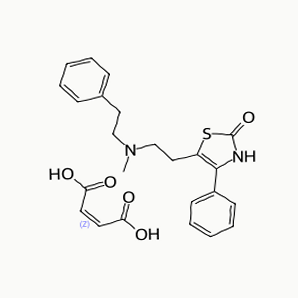 CN(CCc1ccccc1)CCc1sc(=O)[nH]c1-c1ccccc1.O=C(O)/C=C\C(=O)O